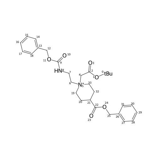 CC(C)(C)OC(=O)C[N+]1(CCNC(=O)OCc2ccccc2)CCC(C(=O)OCc2ccccc2)CC1